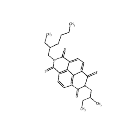 CCCCC(CC)CN1C(=S)c2ccc3c4c(ccc(c24)C1=S)C(=S)N(CC(C)CC)C3=O